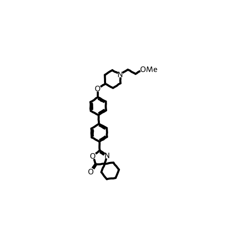 COCCN1CCC(Oc2ccc(-c3ccc(C4=NC5(CCCCC5)C(=O)O4)cc3)cc2)CC1